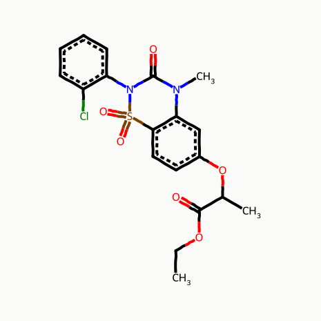 CCOC(=O)C(C)Oc1ccc2c(c1)N(C)C(=O)N(c1ccccc1Cl)S2(=O)=O